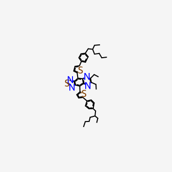 CCCCC(CC)Cc1ccc(-c2ccc(-c3c4nsnc4c(-c4ccc(-c5ccc(CC(CC)CCCC)cc5)s4)c4nc(CC)c(CC)nc34)s2)cc1